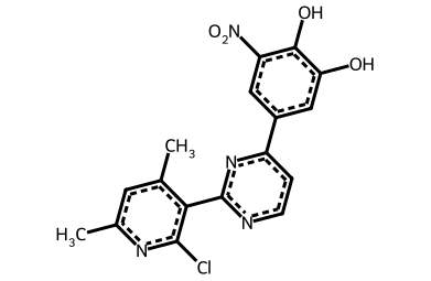 Cc1cc(C)c(-c2nccc(-c3cc(O)c(O)c([N+](=O)[O-])c3)n2)c(Cl)n1